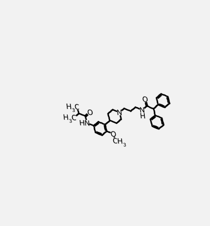 COc1ccc(NC(=O)C(C)C)cc1C1CCN(CCCNC(=O)C(c2ccccc2)c2ccccc2)CC1